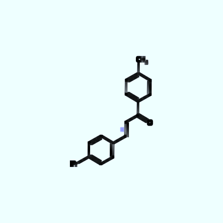 Cc1ccc(C(=O)/C=C/c2ccc(C(C)C)cc2)cc1